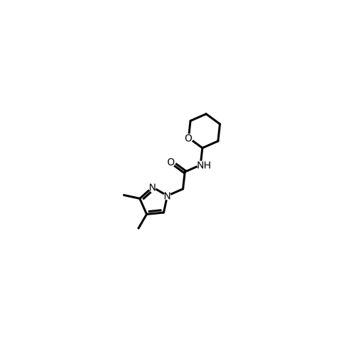 Cc1cn(CC(=O)NC2CCCCO2)nc1C